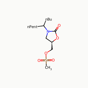 CCCCCC(CCCC)N1C[C@H](COS(C)(=O)=O)OC1=O